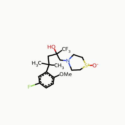 COc1ccc(F)cc1C(C)(C)CC(O)(CN1CC[S+]([O-])CC1)C(F)(F)F